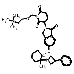 CC1(N2CC(c3ccccc3)C2)CCCC[C@@H]1Oc1ccc2c(c1)CN(C1CCC(=O)N(COCC[Si](C)(C)C)C1=O)C2=O